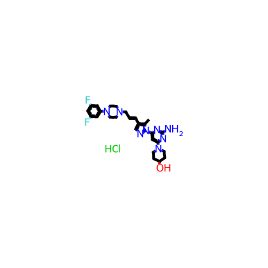 Cc1c(C=CCN2CCN(c3cc(F)cc(F)c3)CC2)cnn1-c1cc(N2CCC(O)CC2)nc(N)n1.Cl